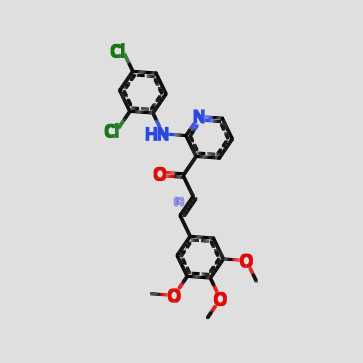 COc1cc(/C=C/C(=O)c2cccnc2Nc2ccc(Cl)cc2Cl)cc(OC)c1OC